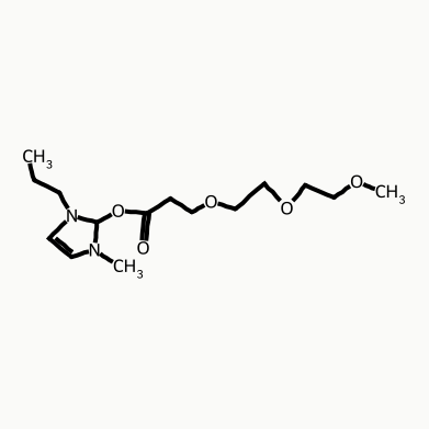 CCCN1C=CN(C)C1OC(=O)CCOCCOCCOC